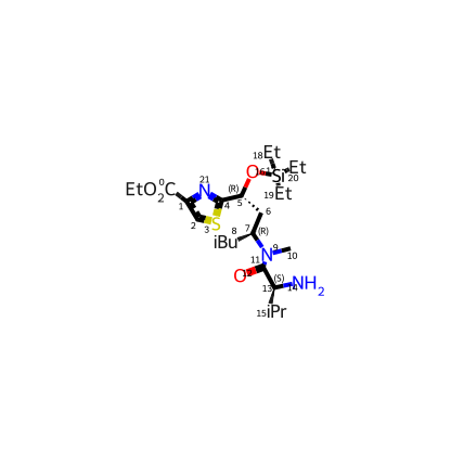 CCOC(=O)c1csc([C@@H](C[C@H](C(C)CC)N(C)C(=O)[C@@H](N)C(C)C)O[Si](CC)(CC)CC)n1